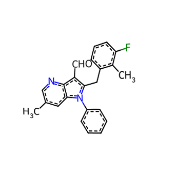 Cc1cnc2c(C=O)c(Cc3cccc(F)c3C)n(-c3ccccc3)c2c1